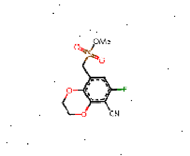 COS(=O)(=O)Cc1cc(F)c(C#N)c2c1OCCO2